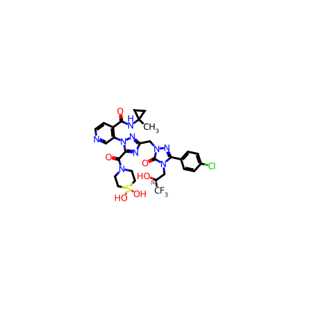 CC1(NC(=O)c2ccncc2-n2nc(Cn3nc(-c4ccc(Cl)cc4)n(C[C@H](O)C(F)(F)F)c3=O)nc2C(=O)N2CCS(O)(O)CC2)CC1